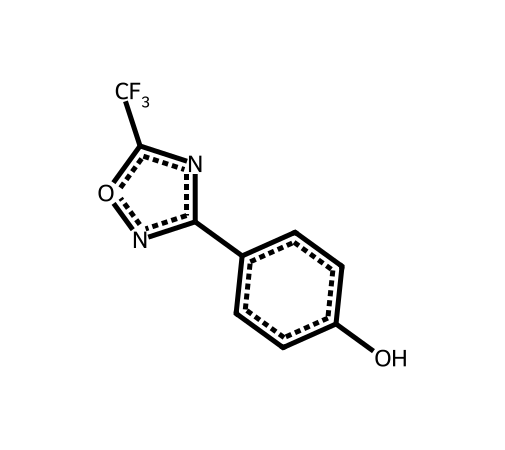 Oc1ccc(-c2noc(C(F)(F)F)n2)cc1